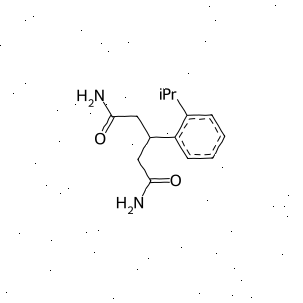 CC(C)c1ccccc1C(CC(N)=O)CC(N)=O